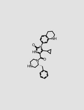 O=C(c1[nH]c(=O)n(-c2ccc3c(c2)NCCC3)c1C1CC1)N1CCNC[C@H]1Cc1ccccc1